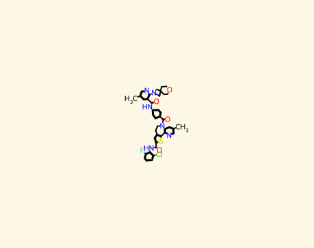 Cc1cnc(N2CC3(CCOCC3)C2)c(C(=O)Nc2ccc(C(=O)N3CCc4cc(C(=O)Nc5c(F)cccc5Cl)sc4-c4ncc(C)cc43)cc2)c1